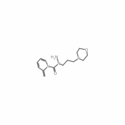 C=C1C=CC=CN1C(=O)N(N)CCCN1CCOCC1